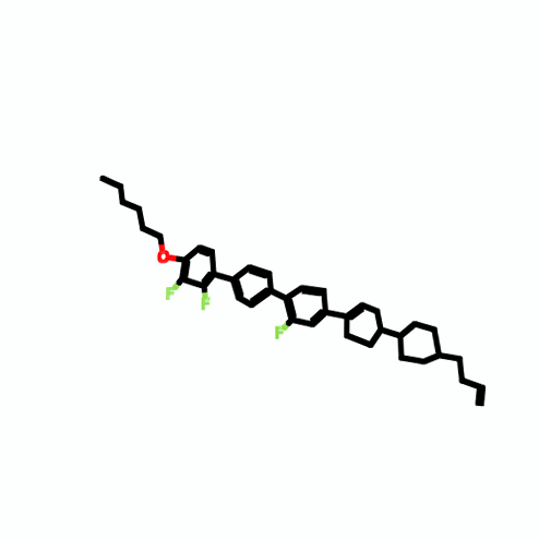 C=CCCC1CCC(C2CC=C(c3ccc(-c4ccc(-c5ccc(OCCCCCC)c(F)c5F)cc4)c(F)c3)CC2)CC1